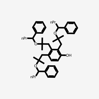 CCCC(OC(C)(C)Cc1ccc(O)c(CC(C)(C)OC(CCC)c2ccccc2)c1CC(C)(C)OC(CCC)c1ccccc1)c1ccccc1